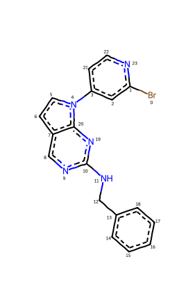 Brc1cc(-n2ccc3cnc(NCc4ccccc4)nc32)ccn1